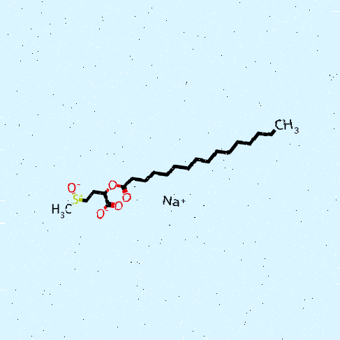 CCCCCCCCCCCCCCCC(=O)OC(CC[S+](C)[O-])C(=O)[O-].[Na+]